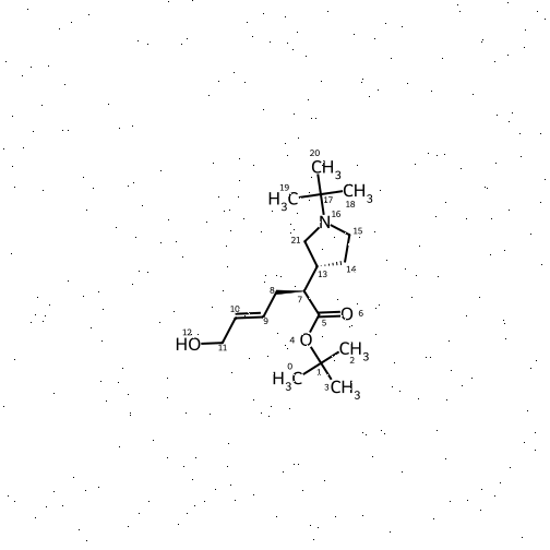 CC(C)(C)OC(=O)[C@@H](C/C=C/CO)[C@H]1CCN(C(C)(C)C)C1